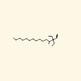 C=CC(CC)(CC)C(N)CCCCCCCCCCC.Cl